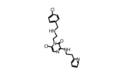 O=c1c(NCCc2ccccn2)ncc(Cl)n1CCNCc1ccc(Cl)cc1